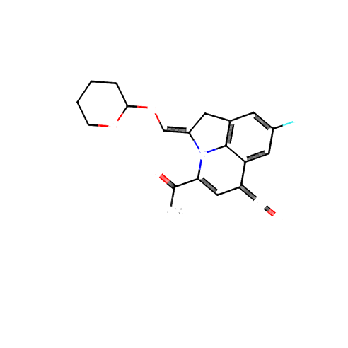 COC(=O)C1=CC(=C=O)c2cc(F)cc3c2N1C(=COC1CCCCO1)C3